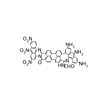 Nc1ccc2c(c1)c(N)c1cc(N)cc3c4ccc5c6ccc7c8c(ccc(c9ccc(c(NC=O)nc2c13)c4c95)c68)c(=O)n1c2cc([N+](=O)[O-])cc3c([N+](=O)[O-])c4cc([N+](=O)[O-])ccc4c(nc71)c32